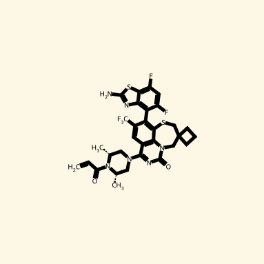 C=CC(=O)N1[C@H](C)CN(c2nc(=O)n3c4c(c(-c5c(F)cc(F)c6sc(N)nc56)c(C(F)(F)F)cc24)SCC2(CCC2)C3)C[C@@H]1C